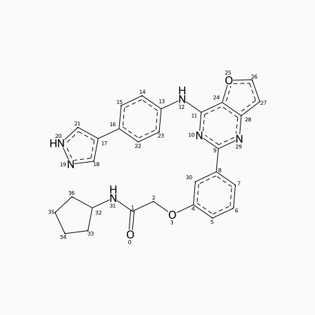 O=C(COc1cccc(-c2nc(Nc3ccc(-c4cn[nH]c4)cc3)c3occc3n2)c1)NC1CCCC1